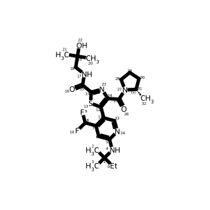 CCC(C)(C)Nc1cc(C(F)F)c(-c2sc(C(=O)NCC(C)(C)O)nc2C(=O)N2CCC[C@@H]2C)cn1